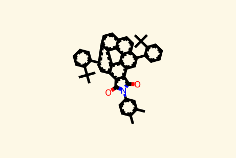 Cc1ccc(-n2c(=O)c3c4cc(-c5ccccc5C(C)(C)C)c5ccc6ccc7c(-c8ccccc8C(C)(C)C)cc(c3c2=O)c2c7c6c5c42)cc1C